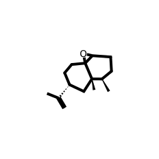 C=C(C)[C@@H]1CCC23OC2CC[C@@H](C)[C@]3(C)C1